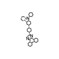 C1=CC2c3cc(-c4ccc(-c5cnc6c7ccccc7c7ccccc7c6n5)cc4)ccc3N(c3ccccc3)C2C=C1